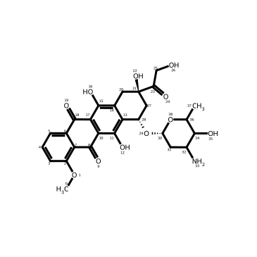 COc1cccc2c1C(=O)c1c(O)c3c(c(O)c1C2=O)C[C@](O)(C(=O)CO)C[C@@H]3O[C@H]1CC(N)C(O)C(C)O1